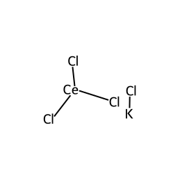 [Cl][Ce]([Cl])[Cl].[Cl][K]